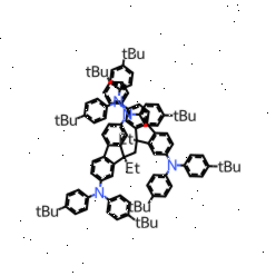 CCC1(CC2(CC)c3cc(N(c4ccc(C(C)(C)C)cc4)c4ccc(C(C)(C)C)cc4)ccc3-c3ccc(N(c4ccc(C(C)(C)C)cc4)c4ccc(C(C)(C)C)cc4)cc32)c2cc(N(c3ccc(C(C)(C)C)cc3)c3ccc(C(C)(C)C)cc3)ccc2-c2ccc(N(c3ccc(C(C)(C)C)cc3)c3ccc(C(C)(C)C)cc3)cc21